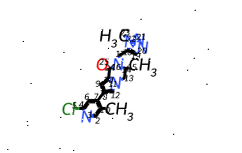 Cc1cnc(Cl)cc1-c1cc2n(c1)CC(C)N(Cc1cnnn1C)C2=O